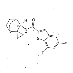 O=C(N[C@@H]1C2CCN(CC2)C12CC2)c1cc2cc(F)cc(F)c2s1